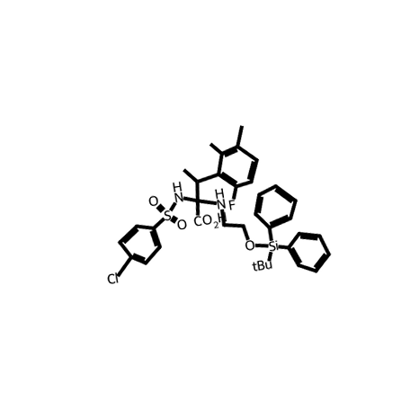 Cc1ccc(F)c(C(C)C(NCCO[Si](c2ccccc2)(c2ccccc2)C(C)(C)C)(NS(=O)(=O)c2ccc(Cl)cc2)C(=O)O)c1C